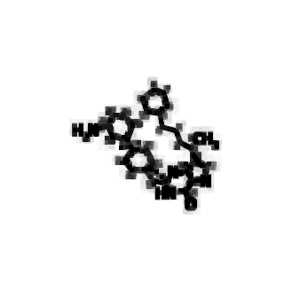 CC(CCCc1ccccc1)n1cnc2c(=O)[nH]c(Cc3ccc(-c4cccc(N)c4)cc3)nc21